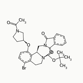 CC(=O)N1CC[C@H](Oc2ccc(Br)c3c2[C@@H](CN2C(=O)c4ccccc4C2=O)N(C(=O)OC(C)(C)C)CC3)C1